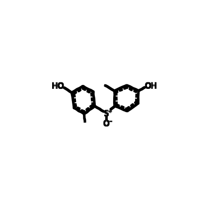 Cc1cc(O)ccc1[S+]([O-])c1ccc(O)cc1C